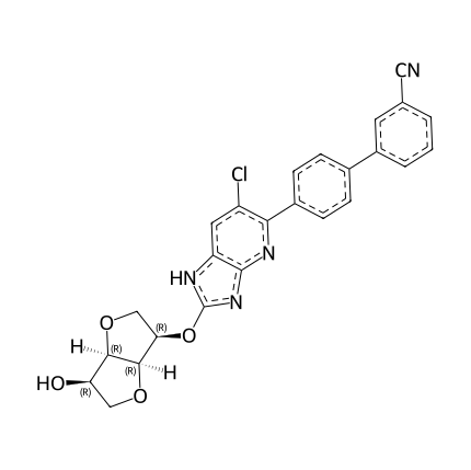 N#Cc1cccc(-c2ccc(-c3nc4nc(O[C@@H]5CO[C@H]6[C@@H]5OC[C@H]6O)[nH]c4cc3Cl)cc2)c1